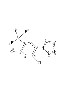 FC(F)(F)c1cc(-n2ccnn2)c(Cl)cc1Cl